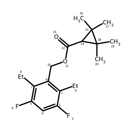 CCc1c(F)cc(F)c(CC)c1COC(=O)C1C(C)(C)C1(C)C